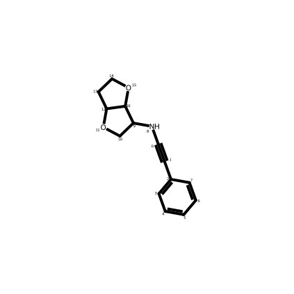 C(#Cc1ccccc1)NC1COC2CCOC12